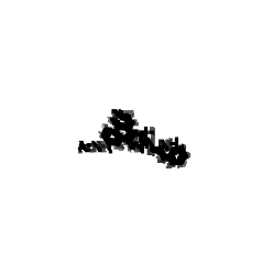 CC(=O)Nc1cccc(-c2cnc(NCC(N)Cc3ccccc3)nc2-c2ccncc2)c1